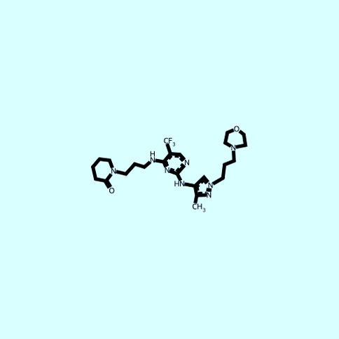 Cc1nn(CCCN2CCOCC2)cc1Nc1ncc(C(F)(F)F)c(NCCCN2CCCCC2=O)n1